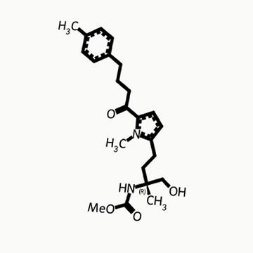 COC(=O)N[C@@](C)(CO)CCc1ccc(C(=O)CCCc2ccc(C)cc2)n1C